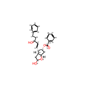 O=C(O[C@@H]1C[C@H]2OC(O)C[C@H]2[C@@H]1/C=C/[C@@H](O)CCc1ccccc1)c1ccccc1